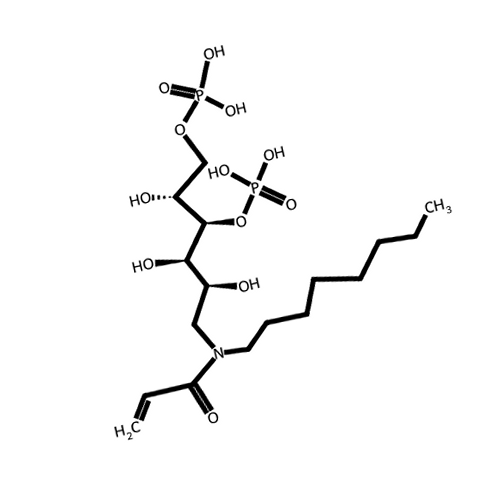 C=CC(=O)N(CCCCCCCC)C[C@H](O)[C@@H](O)[C@H](OP(=O)(O)O)[C@H](O)COP(=O)(O)O